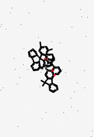 Cc1cc(C)c2c(c1)C1(c3ccccc3-c3cccc(N(c4ccc5c(c4)C(C)(C)c4ccccc4-5)c4ccccc4-c4ccccc4)c31)c1c(C)ccc(C)c1-2